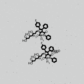 CC(C)c1c(C(=O)Nc2ccccc2)c(-c2ccccc2)c(-c2ccc(F)cc2)n1CC[C@@H](O)C[C@@H](O)CC(=O)O.CC(C)c1c(C(=O)Nc2ccccc2)c(-c2ccccc2)c(-c2ccc(F)cc2)n1CC[C@@H](O)C[C@@H](O)CC(=O)O.O.O.O